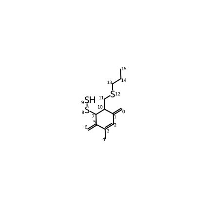 C=C1C=C(C)C(=C)C(SS)C1CSCCC